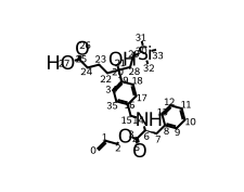 C=CCOC(=O)[C@H](Cc1ccccc1)NCc1ccc(C(O)(CCCC(=O)O)CC[Si](C)(C)C)cc1